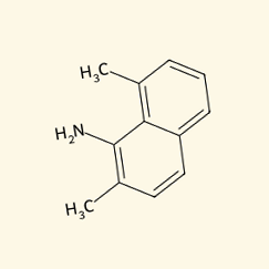 Cc1ccc2cccc(C)c2c1N